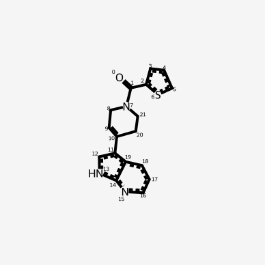 O=C(c1cccs1)N1CC=C(c2c[nH]c3ncccc23)CC1